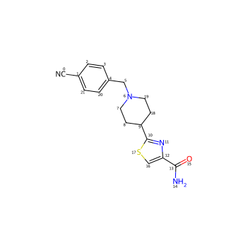 N#Cc1ccc(CN2CCC(c3nc(C(N)=O)cs3)CC2)cc1